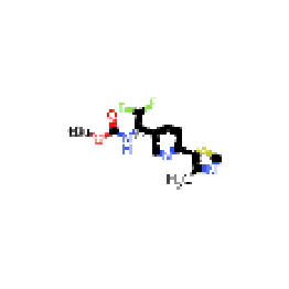 Cc1ncsc1-c1ccc([C@@H](NC(=O)OC(C)(C)C)C(F)F)cn1